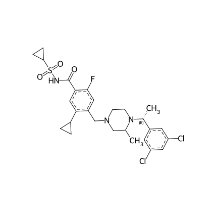 CC1CN(Cc2cc(F)c(C(=O)NS(=O)(=O)C3CC3)cc2C2CC2)CCN1[C@H](C)c1cc(Cl)cc(Cl)c1